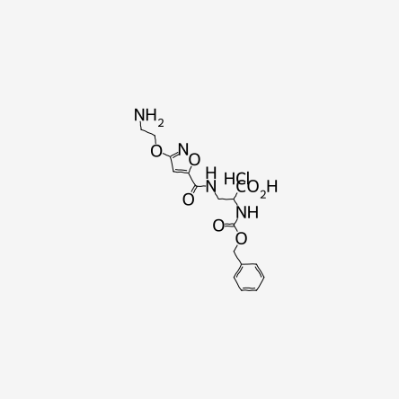 Cl.NCCOc1cc(C(=O)NCC(NC(=O)OCc2ccccc2)C(=O)O)on1